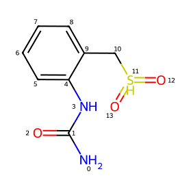 NC(=O)Nc1ccccc1C[SH](=O)=O